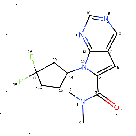 CN(C)C(=O)c1cc2cncnc2n1C1CCC(F)(F)C1